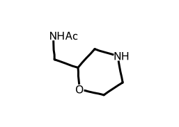 CC(=O)NCC1CNCCO1